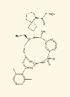 Cc1cccc(C)c1-c1cc2nc(n1)NS(=O)(=O)c1cccc(c1)C(O)N([C@H]1C[C@@]3(CCCN3C(=O)CO)C1)[C@H](CC(C)(C)C)CO2